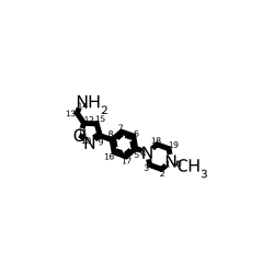 CN1CCN(c2ccc(C3=NOC(CN)C3)cc2)CC1